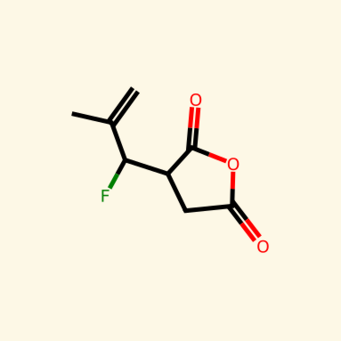 C=C(C)C(F)C1CC(=O)OC1=O